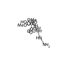 COc1cc(C2c3cc4c(cc3[C@@H](NC(=O)NCCCCNCCCCN)[C@H]3COC(=O)[C@H]23)OCO4)cc(OC)c1O